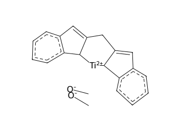 C1=C2CC3=Cc4ccccc4[CH]3[Ti+2][CH]2c2ccccc21.C[O-].C[O-]